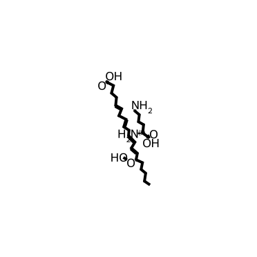 CCCCCC(C=CC=CCC=CCC=CCCCC(=O)O)OO.NCCCC[C@H](N)C(=O)O